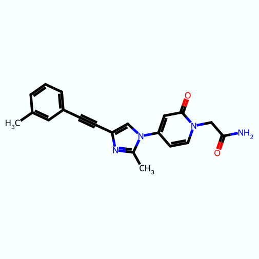 Cc1cccc(C#Cc2cn(-c3ccn(CC(N)=O)c(=O)c3)c(C)n2)c1